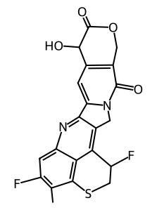 Cc1c(F)cc2nc3c(c4c2c1SCC4F)Cn1c-3cc2c(c1=O)COC(=O)C2O